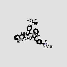 C/N=C(/NC)c1ccc(CC(C(=O)NC(C(=O)NC(Cc2ccc[n+](C)c2)C(N)=O)C2CCCCC2)C(=O)N2CCCCC2)cc1.O=C(O)C(F)(F)F